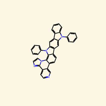 c1ccc(-n2c3ccccc3c3cc4c(cc32)c2ccc3c5cnccc5c5nccn5c3c2n4-c2ccccc2)cc1